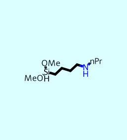 CCCNCCCC[SiH](OC)OC